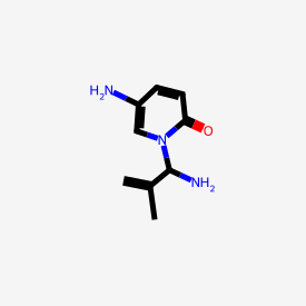 C=C(C)C(N)n1cc(N)ccc1=O